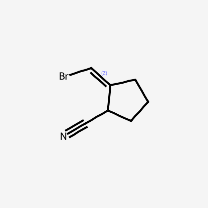 N#CC1CCC/C1=C/Br